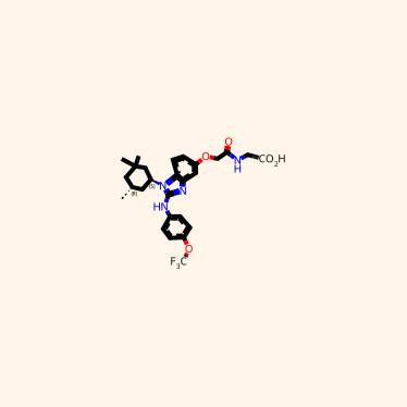 C[C@H]1C[C@H](n2c(Nc3ccc(OC(F)(F)F)cc3)nc3cc(OCC(=O)NCC(=O)O)ccc32)CC(C)(C)C1